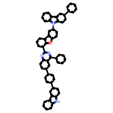 c1ccc(-c2ccc3c(c2)c2ccccc2n3-c2ccc3oc4c(-c5nc(-c6ccccc6)c6cc(-c7ccc(-c8ccc9[nH]c%10ccccc%10c9c8)cc7)ccc6n5)cccc4c3c2)cc1